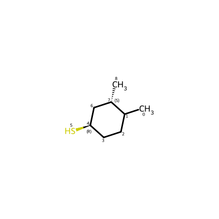 CC1CC[C@@H](S)C[C@@H]1C